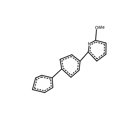 COc1cccc(-c2ccc(-c3ccccc3)cc2)n1